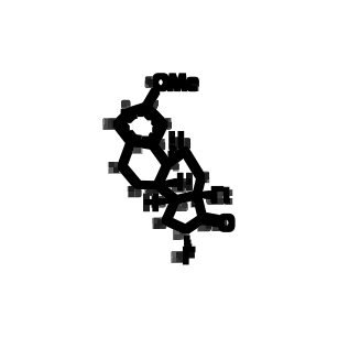 CC[C@]12CC[C@@H]3c4cc(OC)[c]cc4CC[C@H]3[C@@H]1C[C@@H](F)C2=O